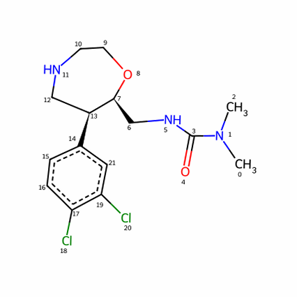 CN(C)C(=O)NC[C@@H]1OCCNC[C@@H]1c1ccc(Cl)c(Cl)c1